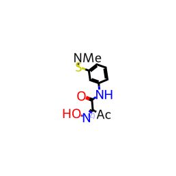 CNSc1cccc(NC(=O)/C(=N\O)C(C)=O)c1